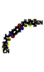 N#Cc1cc2sc(-c3ccc(-c4nc5cc6cc7oc(-c8ccc(-c9cc%10sc(C#N)cc%10s9)s8)nc7cc6cc5o4)s3)cc2s1